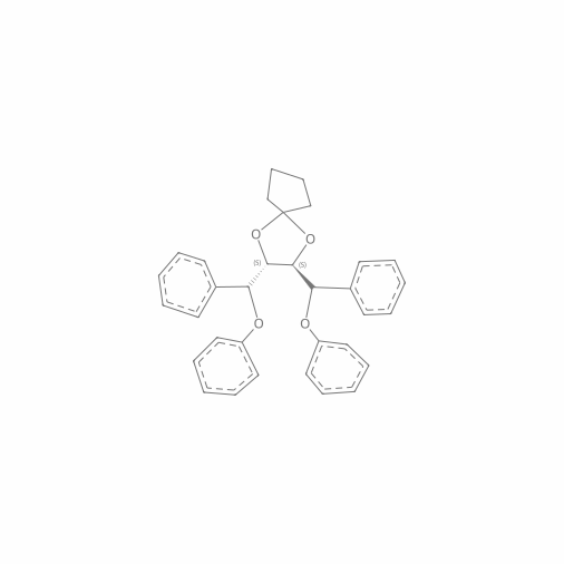 c1ccc(OC(c2ccccc2)[C@@H]2OC3(CCCC3)O[C@H]2C(Oc2ccccc2)c2ccccc2)cc1